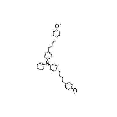 COc1ccc(C=CC=Cc2ccc(N(c3ccccc3)c3ccc(C=CC=Cc4ccc(OC)cc4)cc3)cc2)cc1